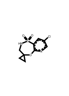 O=S1(=O)NCC2(CC2)Oc2ncc(Cl)cc21